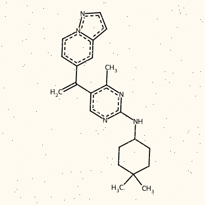 C=C(c1ccn2nccc2c1)c1cnc(NC2CCC(C)(C)CC2)nc1C